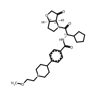 COCCN1CCC(c2ccc(C(=O)N[C@H](C(=O)N3CC[C@H]4OCC(=O)[C@H]43)C3CCCC3)cc2)CC1